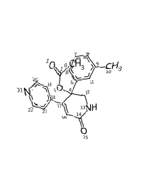 CC(=O)OC1(c2cccc(C)c2)CNC(=O)C=C1c1ccncc1